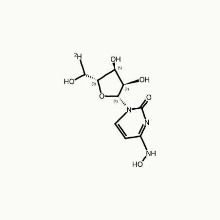 [2H]C(O)[C@H]1O[C@@H](n2ccc(NO)nc2=O)[C@H](O)[C@@H]1O